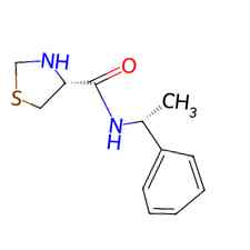 C[C@@H](NC(=O)[C@@H]1CSCN1)c1ccccc1